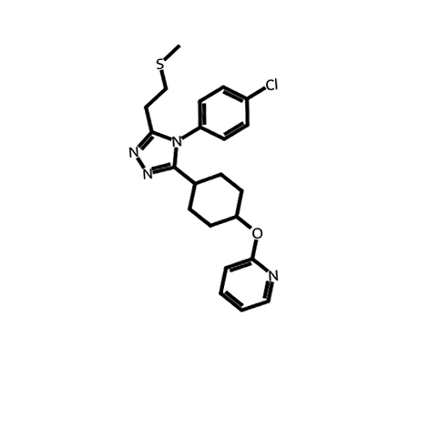 CSCCc1nnc(C2CCC(Oc3ccccn3)CC2)n1-c1ccc(Cl)cc1